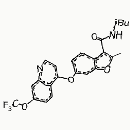 CCC(C)NC(=O)c1c(C)oc2cc(Oc3ccnc4cc(OC(F)(F)F)ccc34)ccc12